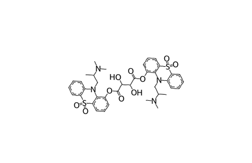 CC(CN1c2ccccc2S(=O)(=O)c2cccc(OC(=O)C(O)C(O)C(=O)Oc3cccc4c3N(CC(C)N(C)C)c3ccccc3S4(=O)=O)c21)N(C)C